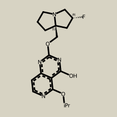 CC(C)Oc1nccc2nc(OC[C@@]34CCCN3C[C@H](F)C4)nc(O)c12